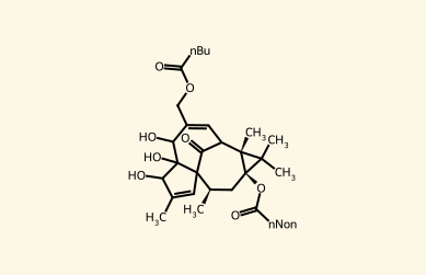 CCCCCCCCCC(=O)O[C@@]12C[C@@H](C)C34C=C(C)C(O)C3(O)C(O)C(COC(=O)CCCC)=CC(C4=O)[C@]1(C)C2(C)C